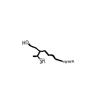 CCCCCCCCCCC(CCO)C(C)S